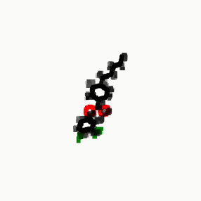 CCCCC[C@H]1CC[C@@H](C(=O)Oc2ccc(F)c(F)c2)CC1